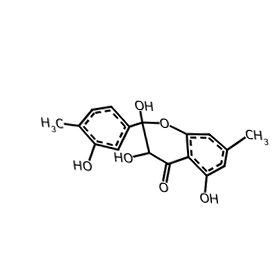 Cc1cc(O)c2c(c1)OC(O)(c1ccc(C)c(O)c1)C(O)C2=O